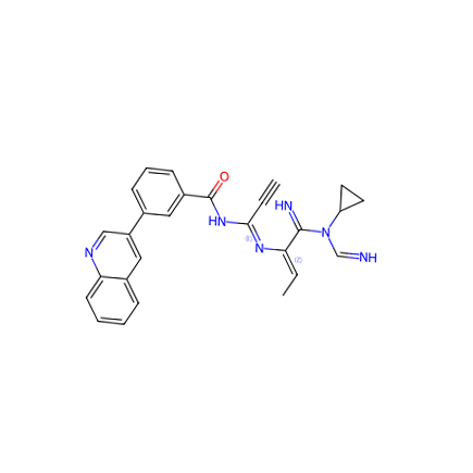 C#C/C(=N\C(=C/C)C(=N)N(C=N)C1CC1)NC(=O)c1cccc(-c2cnc3ccccc3c2)c1